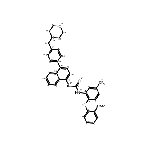 COc1ccccc1Oc1ccc(C(F)(F)F)cc1NC(=O)Nc1ccc(-c2ccc(CN3CCOCC3)nc2)c2ccccc12